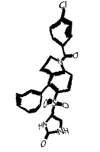 O=C1NCC(S(=O)(=O)c2ccc3c(c2-c2ccccc2)CCN3C(=O)c2ccc(Cl)cc2)N1